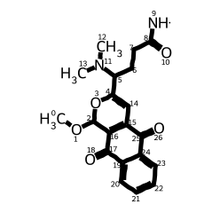 COC1OC(C(CCC([NH])=O)N(C)C)=CC2=C1C(=O)c1ccccc1C2=O